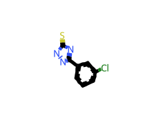 S=C1N=NC(c2cccc(Cl)c2)=N1